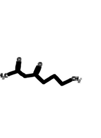 [CH2]CCCC(=O)CC(C)=O